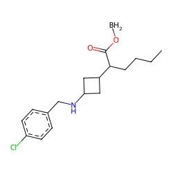 BOC(=O)C(CCCC)C1CC(NCc2ccc(Cl)cc2)C1